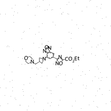 CCOC(=O)c1nc(-c2cc(N3CC(CN4CCOCC4)C3)c3nonc3c2)no1